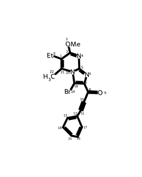 CCc1c(OC)nc2nc(C(=O)C#Cc3ccccc3)c(Br)n2c1C